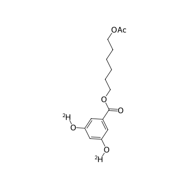 [2H]Oc1cc(O[2H])cc(C(=O)OCCCCCCOC(C)=O)c1